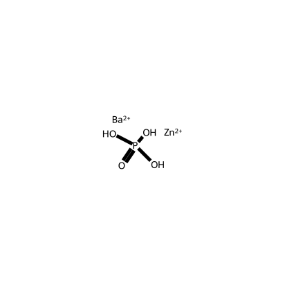 O=P(O)(O)O.[Ba+2].[Zn+2]